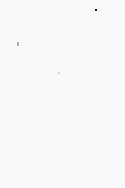 CCC(=O)N(CCCCN)c1ccc(CC(C)C)cc1